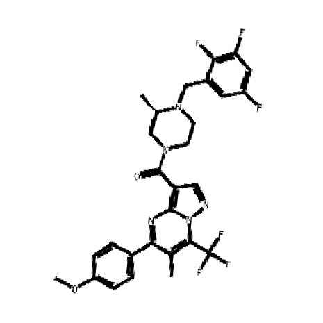 COc1ccc(-c2nc3c(C(=O)N4CCN(Cc5cc(F)cc(F)c5F)[C@H](C)C4)cnn3c(C(F)(F)F)c2C)cc1